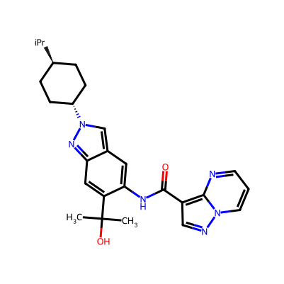 CC(C)[C@H]1CC[C@H](n2cc3cc(NC(=O)c4cnn5cccnc45)c(C(C)(C)O)cc3n2)CC1